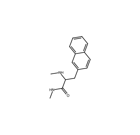 CNC(=O)C(Cc1ccc2ccccc2c1)NC